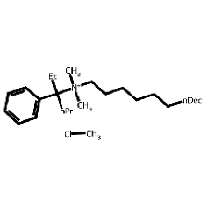 CCCCCCCCCCCCCCCC[N+](C)(C)C(CC)(CCC)c1ccccc1.CCl